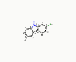 Cc1ccc2[nH]c3cc(F)ccc3c2c1